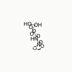 O=C(CCC(=O)OC[C@@H]1C[C@H](O)CC(O)O1)NCCC(=O)N1Cc2ccccc2C#Cc2ccccc21